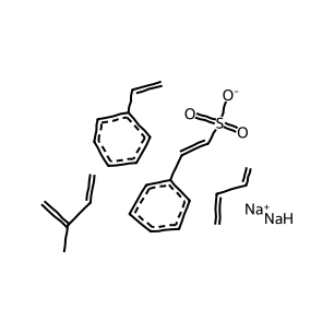 C=CC(=C)C.C=CC=C.C=Cc1ccccc1.O=S(=O)([O-])C=Cc1ccccc1.[Na+].[NaH]